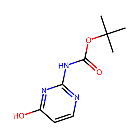 CC(C)(C)OC(=O)Nc1nccc(O)n1